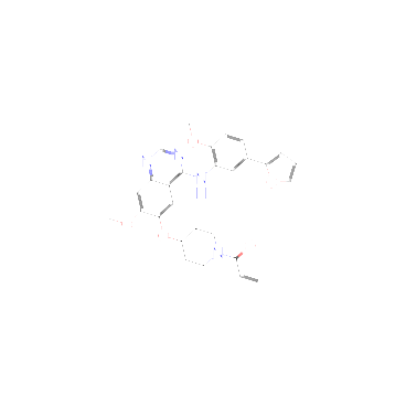 C=CC(=O)N1CCC(Oc2cc3c(Nc4cc(-c5ccco5)ccc4OC)ncnc3cc2OC)CC1